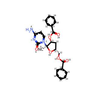 N#C[C@@]1(n2ccc(N)nc2=O)O[C@@H](COC(=O)c2ccccc2)C[C@@H]1OC(=O)c1ccccc1